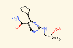 C[C@@H](O)CNc1ncc(C(N)=O)c(C2CCCC2)n1